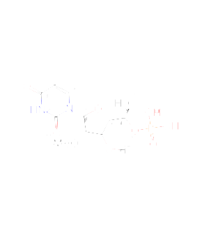 CO[C@H]1C(OC(C)C)[C@@H]([C@@H](C)OP(=O)(O)O)O[C@H]1n1ccc(=O)[nH]c1=O